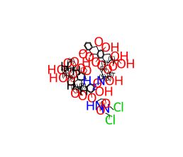 COc1cc([C@@H]2c3cc4c(cc3C(O[C@@H]3O[C@@H]5CO[C@@H](C)O[C@H]5[C@H](O)[C@H]3O)[C@H]3COC(=O)[C@H]23)OCO4)cc(OC)c1O.COc1cccc2c1C(=O)c1c(O)c3c(c(O)c1C2=O)C[C@@](O)(C(=O)CO)C[C@@H]3O[C@H]1C[C@H](N)[C@H](O)[C@H](C)O1.O=P1(N(CCCl)CCCl)NCCCO1